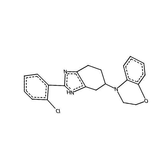 Clc1ccccc1-c1nc2c([nH]1)CC(N1CCOc3ccccc31)CC2